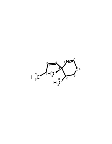 CC/C=C\[C@]1(C)N=CSCC1C